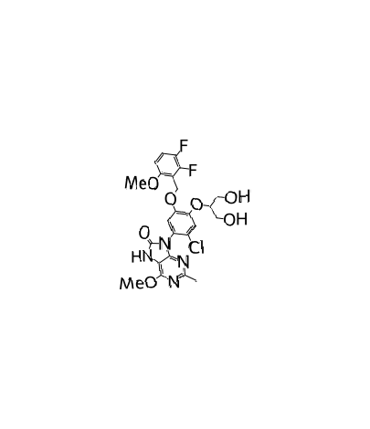 COc1ccc(F)c(F)c1COc1cc(-n2c(=O)[nH]c3c(OC)nc(C)nc32)c(Cl)cc1OC(CO)CO